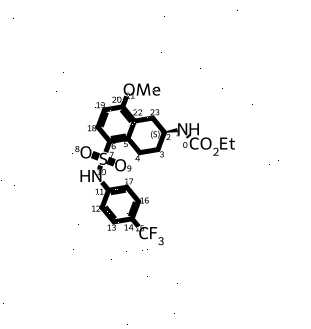 CCOC(=O)N[C@H]1CCc2c(S(=O)(=O)Nc3ccc(C(F)(F)F)cc3)ccc(OC)c2C1